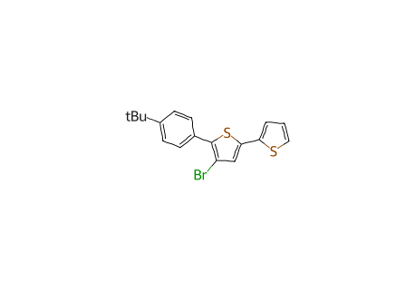 CC(C)(C)c1ccc(-c2sc(-c3cccs3)cc2Br)cc1